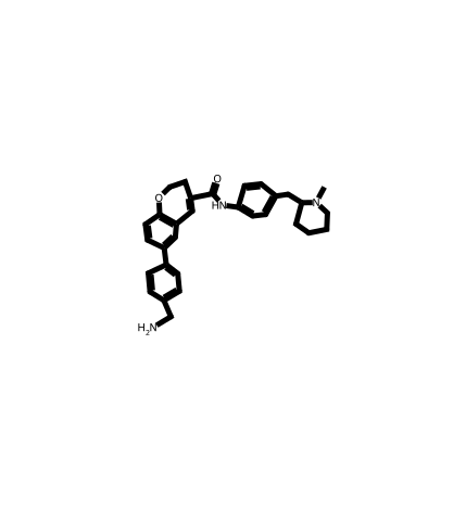 CN1CCCCC1Cc1ccc(NC(=O)C2=Cc3cc(-c4ccc(CN)cc4)ccc3OCC2)cc1